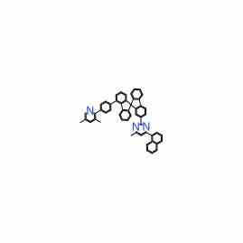 Cc1cnc(-c2ccc(-c3cccc4c3-c3ccccc3C43c4ccccc4-c4ccc(-c5nc(C)cc(-c6cccc7ccccc67)n5)cc43)cc2)c(C)c1